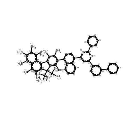 Bc1c(B)c2c(c(B)c1-c1ccc(-c3cc(-c4cccc(-c5ccccc5)c4)nc(-c4ccccc4)n3)c3ccccc13)C(C(B)(B)B)(C(B)(B)B)c1c(B)c(B)c3c(B)c(B)c(B)c(B)c3c1-2